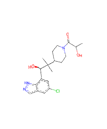 CC(O)C(=O)N1CCC(C(C)(C)[C@H](O)c2cc(Cl)cc3cn[nH]c23)CC1